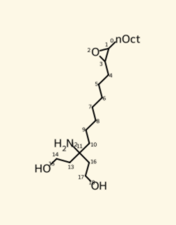 CCCCCCCCC1OC1CCCCCCCC(N)(CCO)CCO